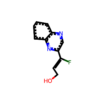 OCC=C(F)c1cnc2ccccc2n1